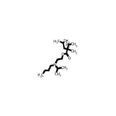 CCCCN(CCOC(=O)C(C)(CC(C)C)C(C)C)C(C)C